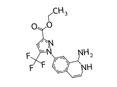 CCOC(=O)c1cc(C(F)(F)F)n(-c2ccc3c(c2)C(N)NC=C3)n1